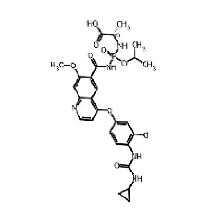 COc1cc2nccc(Oc3ccc(NC(=O)NC4CC4)c(Cl)c3)c2cc1C(=O)NP(=O)(N[C@@H](C)C(=O)O)OC(C)C